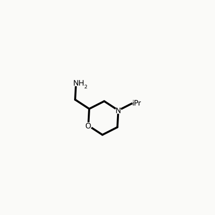 CC(C)N1CCOC(CN)C1